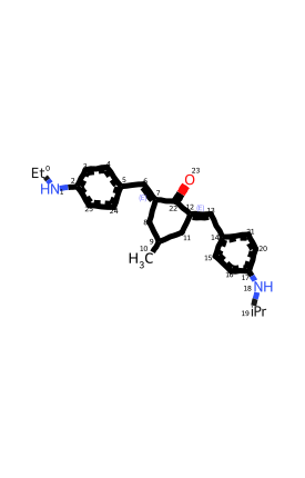 CCNc1ccc(/C=C2\CC(C)C/C(=C\c3ccc(NC(C)C)cc3)C2=O)cc1